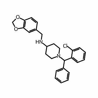 Clc1ccccc1C(c1ccccc1)N1CCC(NCc2ccc3c(c2)OCO3)CC1